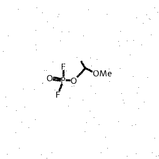 COC(C)OP(=O)(F)F